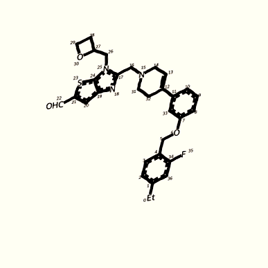 CCc1ccc(COc2cccc(C3=CCN(Cc4nc5cc(C=O)sc5n4CC4CCO4)CC3)c2)c(F)c1